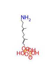 C/C(=C\COP(=O)(O)OP(=O)(O)O)CC/C=C(\C)CCCN